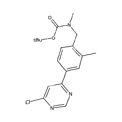 Cc1cc(-c2cc(Cl)ncn2)ccc1CN(C)C(=O)OC(C)(C)C